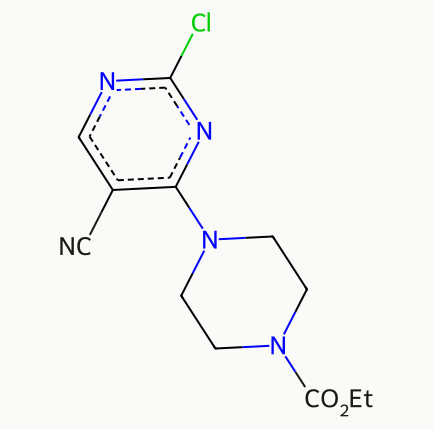 CCOC(=O)N1CCN(c2nc(Cl)ncc2C#N)CC1